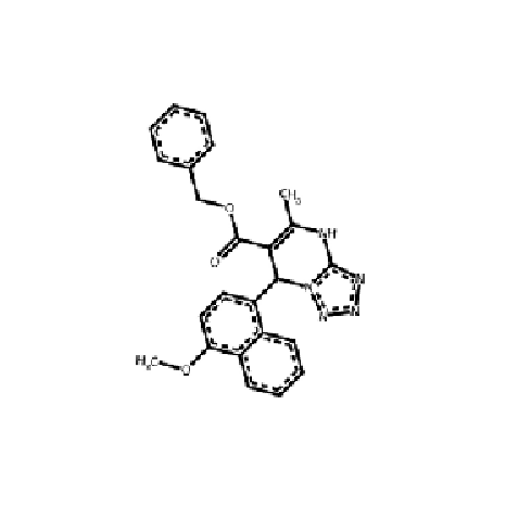 COc1ccc(C2C(C(=O)OCc3ccccc3)=C(C)Nc3nnnn32)c2ccccc12